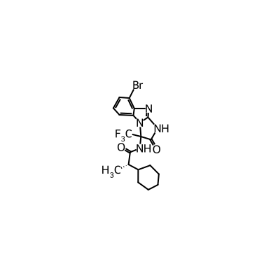 C[C@H](C(=O)NC1(C(F)(F)F)C(=O)Nc2nc3c(Br)cccc3n21)C1CCCCC1